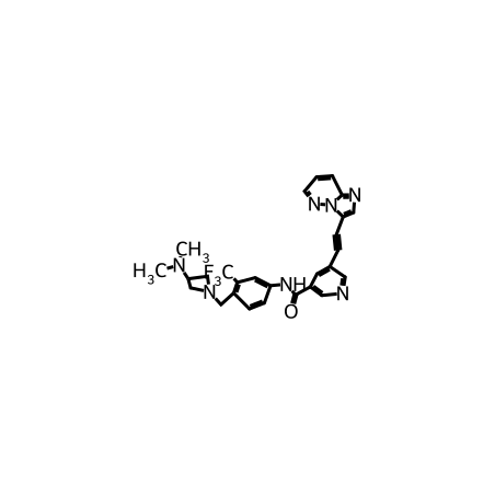 CN(C)C1CN(Cc2ccc(NC(=O)c3cncc(C#Cc4cnc5cccnn45)c3)cc2C(F)(F)F)C1